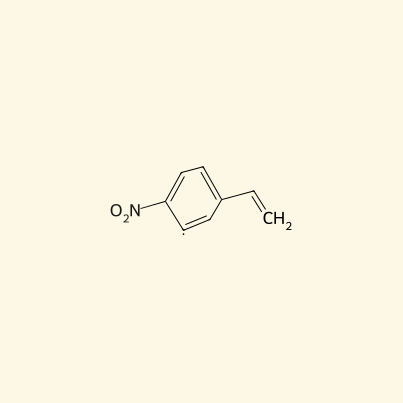 C=Cc1c[c]c([N+](=O)[O-])cc1